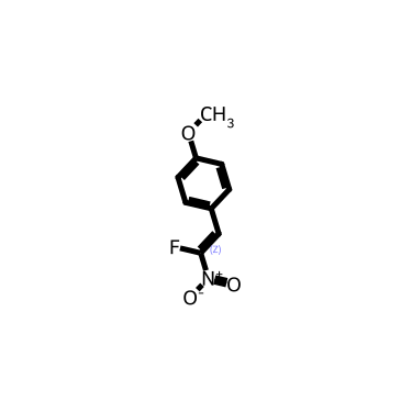 COc1ccc(/C=C(\F)[N+](=O)[O-])cc1